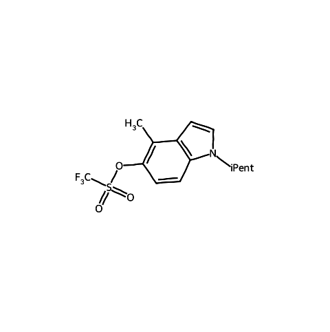 CCCC(C)n1ccc2c(C)c(OS(=O)(=O)C(F)(F)F)ccc21